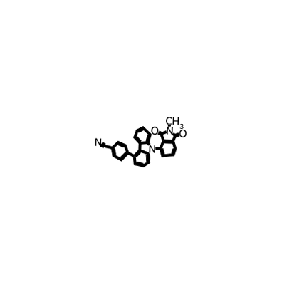 CN1C(=O)c2cccc(-n3c4ccccc4c4c(-c5ccc(C#N)cc5)cccc43)c2C1=O